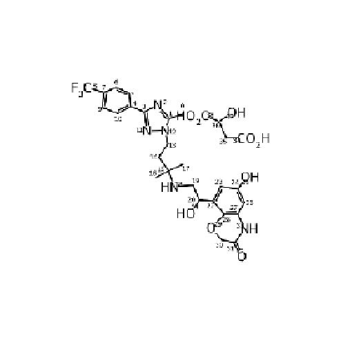 Cc1nc(-c2ccc(C(F)(F)F)cc2)nn1CCC(C)(C)NCC(O)c1cc(O)cc2c1OCC(=O)N2.O=C(O)CC(O)C(=O)O